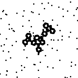 Cc1ccc(N(c2ccc(N3c4ccccc4C4C=CC=CC43)cc2)c2cccc3c2c2c(n3C3=CC=C(N4c5ccccc5Sc5ccccc54)C(C)C3)C=CCC2)cc1